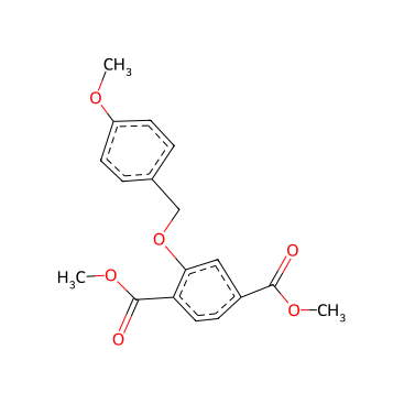 COC(=O)c1ccc(C(=O)OC)c(OCc2ccc(OC)cc2)c1